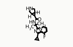 CC(C)(NC(=O)C1[C@H]2CNC[C@@H]12)c1nc(C2CC2)c2c(F)cccn12